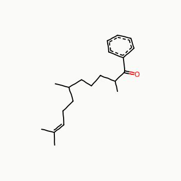 CC(C)=CCCC(C)CCCC(C)C(=O)c1ccccc1